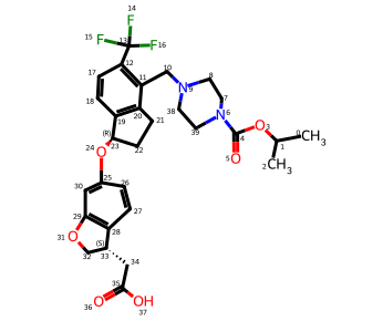 CC(C)OC(=O)N1CCN(Cc2c(C(F)(F)F)ccc3c2CC[C@H]3Oc2ccc3c(c2)OC[C@H]3CC(=O)O)CC1